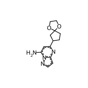 Nc1cc(C2CCC3(C2)OCCO3)nc2ccnn12